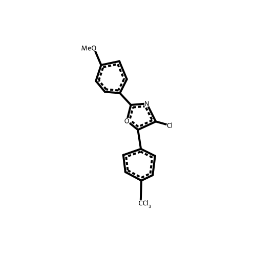 COc1ccc(-c2nc(Cl)c(-c3ccc(C(Cl)(Cl)Cl)cc3)o2)cc1